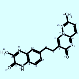 Cc1ccc2nc(=O)c(CCc3ccc4[nH]c(=O)c(C)nc4c3)cn2n1